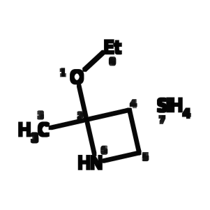 CCOC1(C)CCN1.[SiH4]